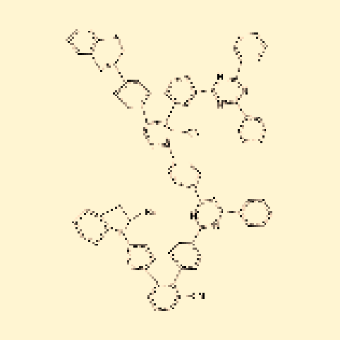 CC(C)(C)C1Cc2ccccc2N1c1ccc(-c2cccc(C#N)c2-c2ccc(-c3nc(-c4ccccc4)nc(-c4ccc(-c5ccc(-c6ccc(C7=Nc8ccccc8SC7)cc6)c(-c6cccc(-c7nc(-c8ccccc8)nc(-c8ccccc8)n7)c6)c5C#N)cc4)n3)cc2)cc1